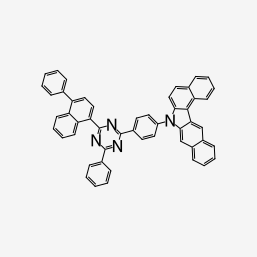 c1ccc(-c2nc(-c3ccc(-n4c5cc6ccccc6cc5c5c6ccccc6ccc54)cc3)nc(-c3ccc(-c4ccccc4)c4ccccc34)n2)cc1